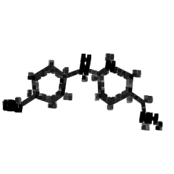 CC(C)(C)c1ccc(Nc2ccc(CN)cn2)cc1